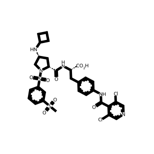 CS(=O)(=O)c1cccc(S(=O)(=O)N2C[C@H](NC3CCC3)C[C@@H]2C(=O)N[C@@H](Cc2ccc(NC(=O)c3c(Cl)cncc3Cl)cc2)C(=O)O)c1